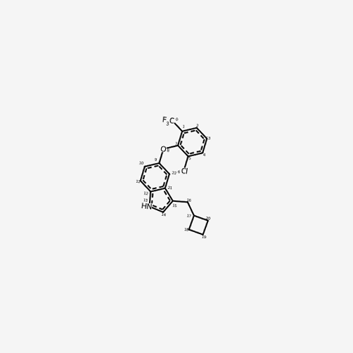 FC(F)(F)c1c[c]cc(Cl)c1Oc1ccc2[nH]cc(CC3CCC3)c2c1